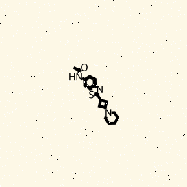 CC(=O)Nc1ccc2nc(C3CC(N4CCCCC4)C3)sc2c1